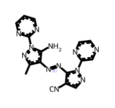 [C-]#[N+]c1cnn(-c2cnccn2)c1/N=N/c1c(C)nn(-c2ncccn2)c1N